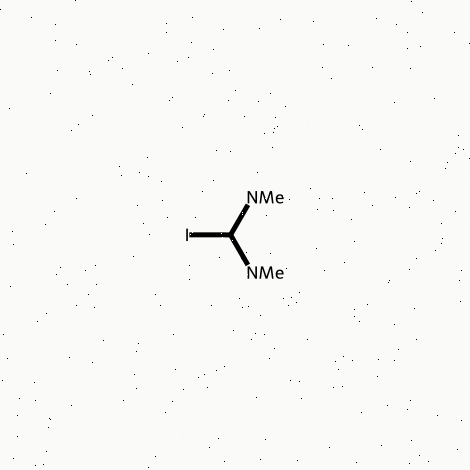 CNC(I)NC